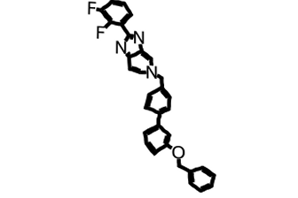 Fc1cccc(-c2nc3ccn(Cc4ccc(-c5cccc(OCc6ccccc6)c5)cc4)cc-3n2)c1F